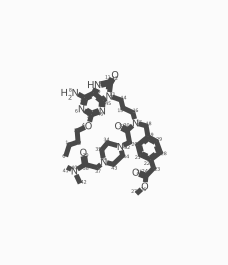 CCCCOc1nc(N)c2[nH]c(=O)n(CCCN(Cc3ccc(CC(=O)OC)cc3)C(=O)CN3CCN(CC(=O)N(C)C)CC3)c2n1